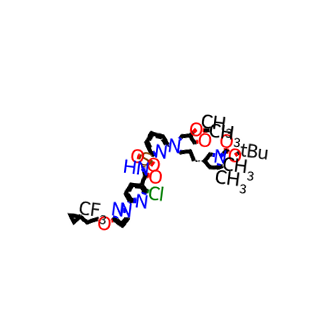 CC(C)(C)OC(=O)N1C[C@@H](CCCN(CC2COC(C)(C)O2)c2cccc(S(=O)(=O)NC(=O)c3ccc(-n4ccc(OCCC5(C(F)(F)F)CC5)n4)nc3Cl)n2)CC1(C)C